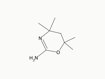 CC1(C)CC(C)(C)OC(N)=N1